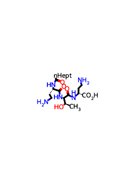 CCCCCCCC(=O)N[C@@H](CCN)C(=O)N[C@H](C(=O)N[C@H](CCN)C(=O)O)[C@@H](C)O